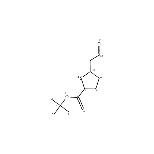 CC(C)(C)OC(=O)C1CCC(CC=O)S1